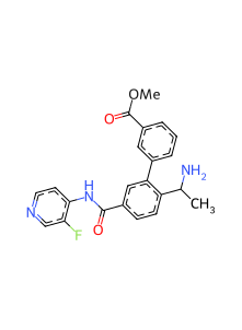 COC(=O)c1cccc(-c2cc(C(=O)Nc3ccncc3F)ccc2C(C)N)c1